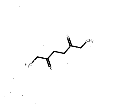 [CH2]CC(=S)CCC(=S)CC